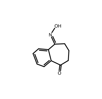 O=C1CCCC(=NO)c2ccccc21